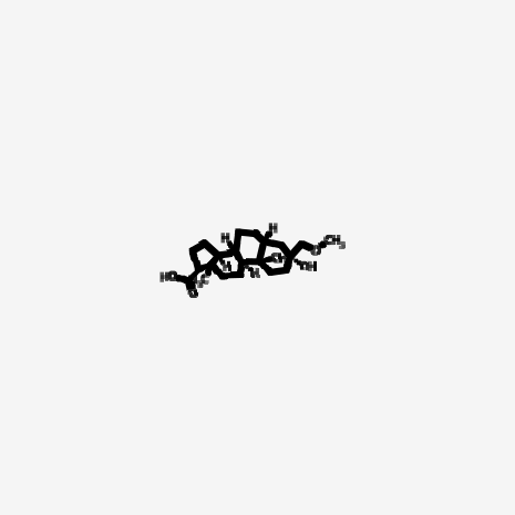 COC[C@@]1(O)CC[C@@]2(C)[C@H](CC[C@@H]3[C@@H]2CC[C@]2(C)[C@@H](C(=O)O)CC[C@@H]32)C1